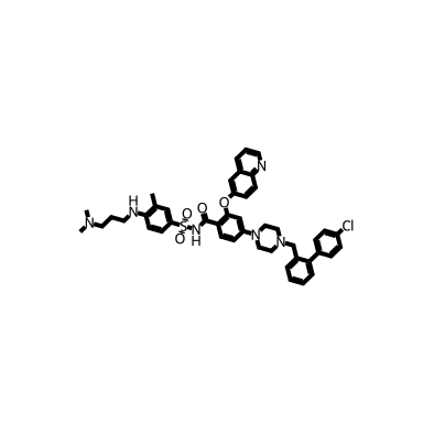 Cc1cc(S(=O)(=O)NC(=O)c2ccc(N3CCN(Cc4ccccc4-c4ccc(Cl)cc4)CC3)cc2Oc2ccc3ncccc3c2)ccc1NCCCN(C)C